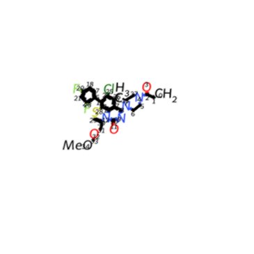 C=CC(=O)N1CCN(c2nc(=O)n3c4c(c(-c5ccc(F)cc5F)c(Cl)cc24)SC=C3COCOC)[C@@H](C)C1